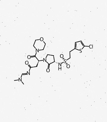 CN(C)/C=N/C(=O)C[C@@H](C(=O)N1CCOCC1)N1CC[C@H](NS(=O)(=O)CCc2ccc(Cl)s2)C1=O